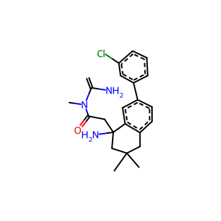 C=C(N)N(C)C(=O)CC1(N)CC(C)(C)Cc2ccc(-c3cccc(Cl)c3)cc21